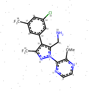 COc1nccnc1-n1nc(C(F)(F)F)c(-c2cc(Cl)cc(C(F)(F)F)c2)c1CN